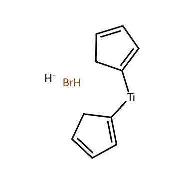 Br.C1=CC[C]([Ti][C]2=CC=CC2)=C1.[H-]